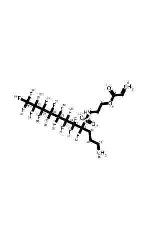 C=CC(=O)OCCNS(=O)(=O)C(F)(CCCC)C(F)(F)C(F)(F)C(F)(F)C(F)(F)C(F)(F)C(F)(F)C(F)(F)F